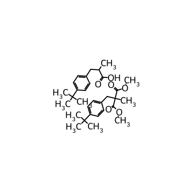 CC(Cc1ccc(C(C)(C)C)cc1)C(=O)O.COC(=O)C(C)(Cc1ccc(C(C)(C)C)cc1)C(=O)OC